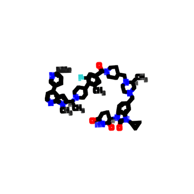 CNc1ccc(-c2ccnc3c2cc([C@H](C)N2CC=C(c4c(C)cc(C(=O)N5CCC(CN6CCN(Cc7ccc8c(c7)n(C7CC7)c(=O)n8[C@@H]7CCC(=O)NC7=O)C[C@@H]6C)CC5)cc4F)CC2)n3C)cn1